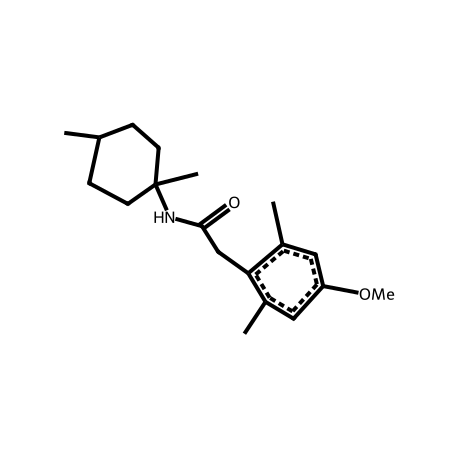 COc1cc(C)c(CC(=O)NC2(C)CCC(C)CC2)c(C)c1